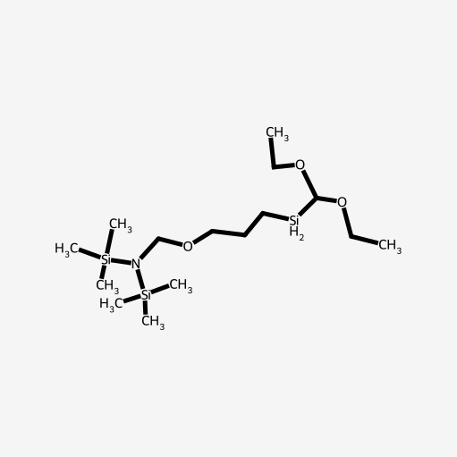 CCOC(OCC)[SiH2]CCCOCN([Si](C)(C)C)[Si](C)(C)C